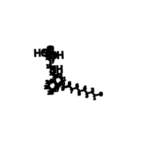 CCCCCCCC/C=C/c1ccc(CNCCCP(=O)(O)O)c2ccccc12